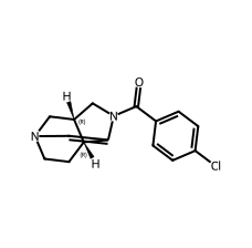 O=C(c1ccc(Cl)cc1)N1C[C@H]2CN3C=C1[C@@H]2CC3